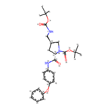 CC(C)(C)OC(=O)NC[C@@H]1C[C@@H](C(=O)Nc2ccc(Oc3ccccc3)cc2)N(C(=O)OC(C)(C)C)C1